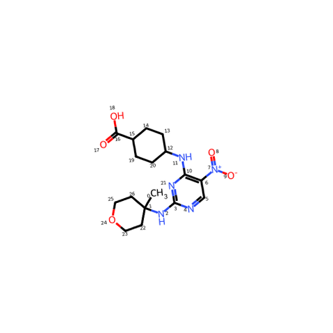 CC1(Nc2ncc([N+](=O)[O-])c(NC3CCC(C(=O)O)CC3)n2)CCOCC1